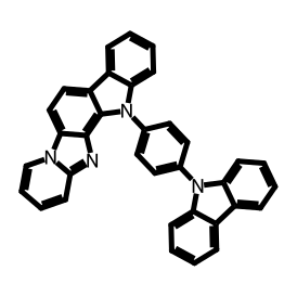 c1ccc2c(c1)c1ccccc1n2-c1ccc(-n2c3ccccc3c3ccc4c(nc5ccccn54)c32)cc1